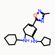 Cc1noc(C2=CCC(NC3CCCCC3)C(NC3CCCC3)=C2)n1